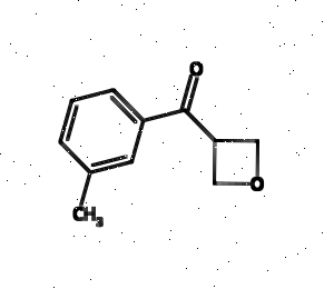 Cc1cccc(C(=O)C2COC2)c1